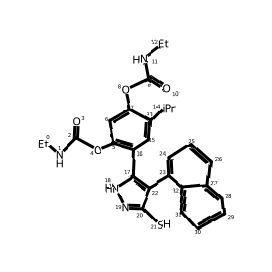 CCNC(=O)Oc1cc(OC(=O)NCC)c(C(C)C)cc1-c1[nH]nc(S)c1-c1cccc2ccccc12